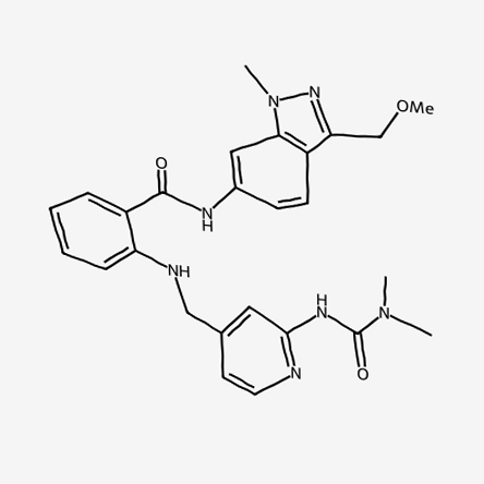 COCc1nn(C)c2cc(NC(=O)c3ccccc3NCc3ccnc(NC(=O)N(C)C)c3)ccc12